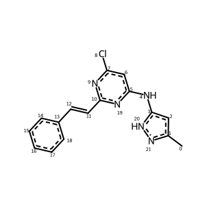 Cc1cc(Nc2cc(Cl)nc(C=Cc3ccccc3)n2)[nH]n1